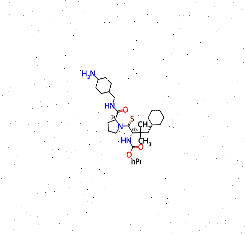 CCCOC(=O)N[C@H](C(=S)N1CCC[C@H]1C(=O)NCC1CCC(N)CC1)C(C)(C)CC1CCCCC1